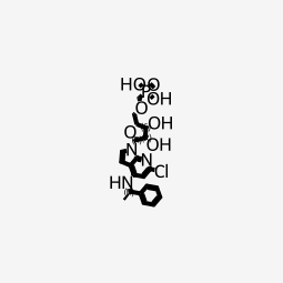 C[C@@H](Nc1cc(Cl)nc2c1ccn2[C@@H]1OC(COCP(=O)(O)O)[C@@H](O)[C@H]1O)c1ccccc1